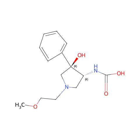 COCCN1C[C@@H](NC(=O)O)[C@@](O)(c2ccccc2)C1